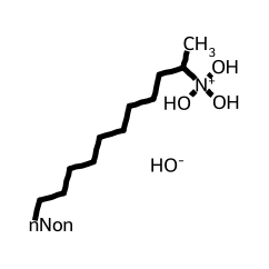 CCCCCCCCCCCCCCCCCCC(C)[N+](O)(O)O.[OH-]